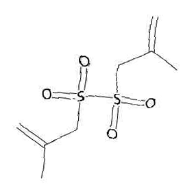 C=C(C)CS(=O)(=O)S(=O)(=O)CC(=C)C